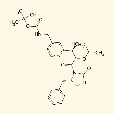 CC(C)O[C@H](C(=O)N1C(=O)OC[C@@H]1Cc1ccccc1)[C@H](O)c1cccc(CNC(=O)OC(C)(C)C)c1